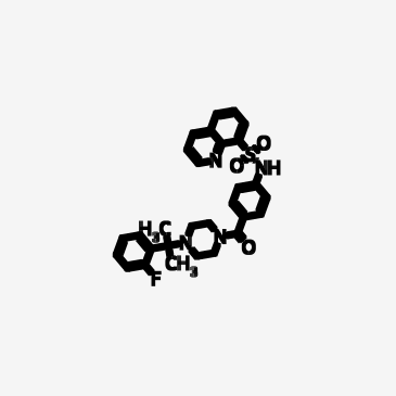 CC(C)(c1ccccc1F)N1CCN(C(=O)c2ccc(NS(=O)(=O)c3cccc4cccnc34)cc2)CC1